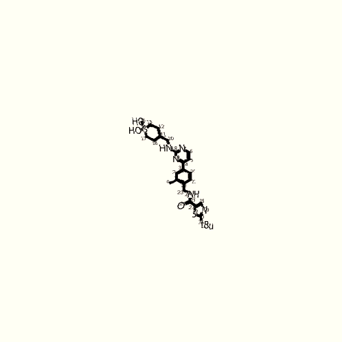 Cc1cc(-c2ccnc(NCC3CCS(O)(O)CC3)n2)ccc1CNC(=O)c1cnc(C(C)(C)C)s1